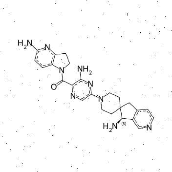 Nc1ccc2c(n1)CCN2C(=O)c1ncc(N2CCC3(CC2)Cc2ccncc2[C@H]3N)nc1N